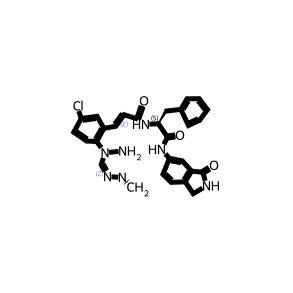 C=N/N=C\N(N)c1ccc(Cl)cc1/C=C/C(=O)N[C@@H](Cc1ccccc1)C(=O)Nc1ccc2c(c1)C(=O)NC2